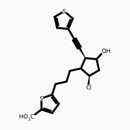 O=C(O)c1ccc(CCCC2[C@@H](C#Cc3ccsc3)C(O)C[C@H]2Cl)s1